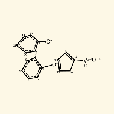 [O-]c1ccccc1.[O-]c1ccccc1.[O]=[V+2][C]1=CC=CC1